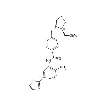 COC[C@@H]1CCCN1Cc1ccc(C(=O)Nc2cc(-c3cccs3)ccc2N)cc1